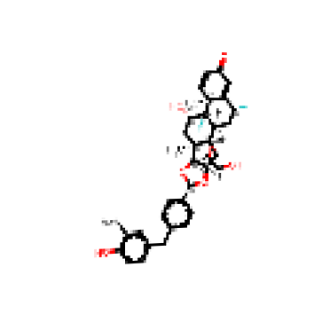 CNc1cc(Cc2ccc([C@@H]3O[C@@H]4C[C@H]5[C@@H]6C[C@H](F)C7=CC(=O)C=C[C@]7(C)[C@@]6(F)[C@@H](O)C[C@]5(C)[C@]4(C(=O)CO)O3)cc2)ccc1O